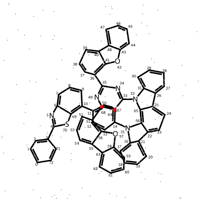 c1ccc(-c2nc3cccc(-c4ccc(-n5c6ccccc6c6ccc7c8ccccc8n(-c8nc(-c9cccc%10c9oc9ccccc9%10)nc(-c9cccc%10c9oc9ccccc9%10)n8)c7c65)cc4)c3s2)cc1